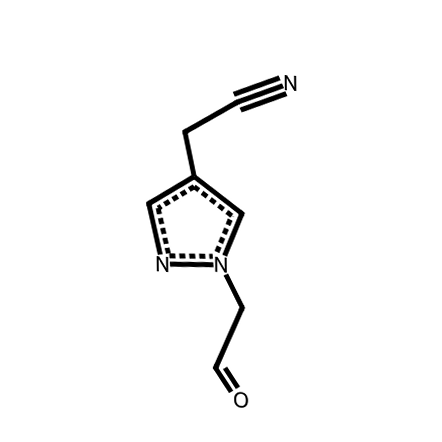 N#CCc1cnn(CC=O)c1